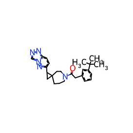 CC(C)(C)c1cccc(CC(=O)N2CCCC3(CC2)CC3c2ccc3nncn3n2)c1